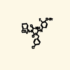 CC(C)Oc1ccc(/N=c2\[nH]c(=O)n(Cc3ccccc3C(=O)O)c(=O)n2Cc2ccc(Cl)cc2)cc1F